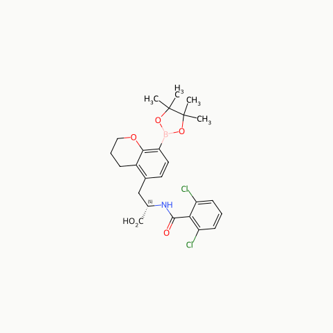 CC1(C)OB(c2ccc(C[C@H](NC(=O)c3c(Cl)cccc3Cl)C(=O)O)c3c2OCCC3)OC1(C)C